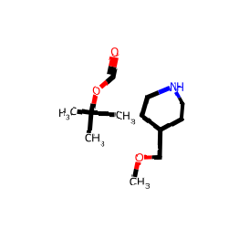 CC(C)(C)OC=O.COCC1CCNCC1